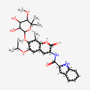 COC1C(O)C(O)C(Oc2c(OC(C)C)cc3cc(NC(=O)c4cc5ccccc5[nH]4)c(=O)oc3c2C)OC1(C)C